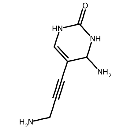 NCC#CC1=CNC(=O)NC1N